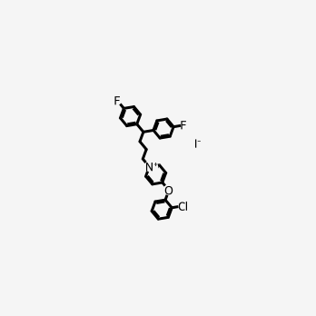 Fc1ccc(C(CCC[n+]2ccc(Oc3ccccc3Cl)cc2)c2ccc(F)cc2)cc1.[I-]